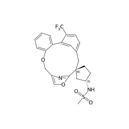 CS(=O)(=O)N[C@H]1CC[C@@]2(Cc3ccc(C(F)(F)F)c(c3)-c3ccccc3OCc3coc2n3)C1